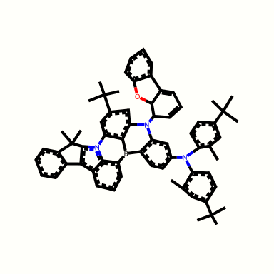 Cc1cc(C(C)(C)C)ccc1N(c1ccc2c(c1)N(C1C=CC=C3c4ccccc4OC31)c1cc(C(C)(C)C)cc3c1B2c1cccc2c4c(n-3c12)C(C)(C)c1ccccc1-4)c1ccc(C(C)(C)C)cc1C